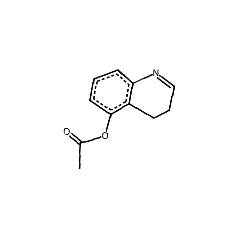 CC(=O)Oc1cccc2c1CCC=N2